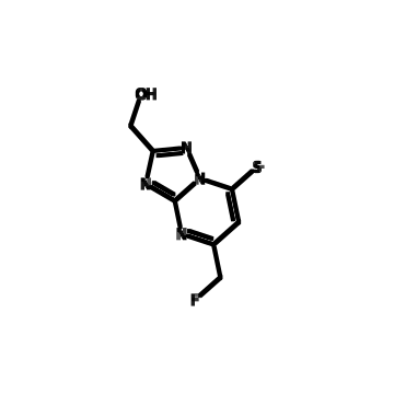 OCc1nc2nc(CF)cc([S])n2n1